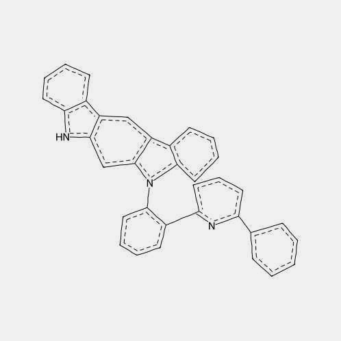 c1ccc(-c2cccc(-c3ccccc3-n3c4ccccc4c4cc5c(cc43)[nH]c3ccccc35)n2)cc1